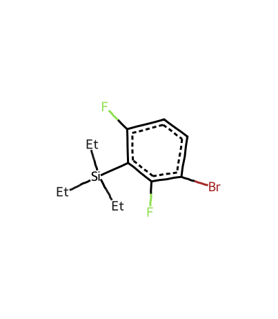 CC[Si](CC)(CC)c1c(F)ccc(Br)c1F